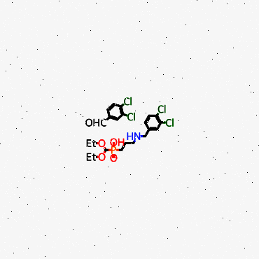 CCOC(OCC)P(=O)(O)CCCNCc1ccc(Cl)c(Cl)c1.O=Cc1ccc(Cl)c(Cl)c1